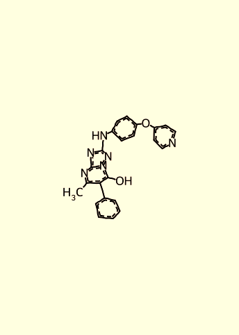 Cc1nc2nc(Nc3ccc(Oc4ccncc4)cc3)nn2c(O)c1-c1ccccc1